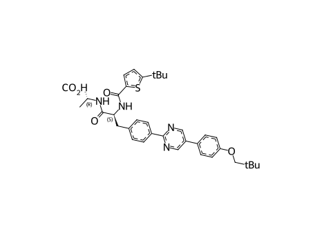 C[C@@H](NC(=O)[C@H](Cc1ccc(-c2ncc(-c3ccc(OCC(C)(C)C)cc3)cn2)cc1)NC(=O)c1ccc(C(C)(C)C)s1)C(=O)O